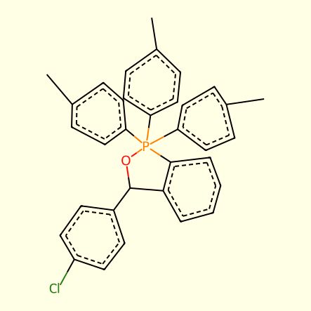 Cc1ccc(P2(c3ccc(C)cc3)(c3ccc(C)cc3)OC(c3ccc(Cl)cc3)c3ccccc32)cc1